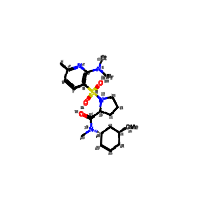 CCN(c1nc(C)ccc1S(=O)(=O)N1CCC[C@H]1C(=O)N(C)[C@H]1CCC[C@H](OC)C1)C(C)C